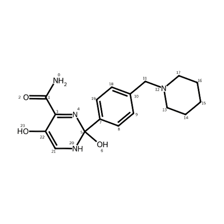 NC(=O)C1=NC(O)(c2ccc(CN3CCCCC3)cc2)NC=C1O